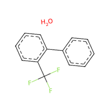 FC(F)(F)c1ccccc1-c1ccccc1.O